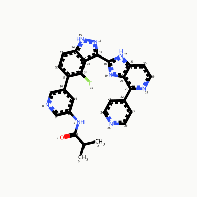 CC(C)C(=O)Nc1cncc(-c2ccc3[nH]nc(-c4nc5c(-c6ccncc6)nccc5[nH]4)c3c2F)c1